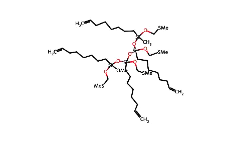 C=CCCCCCC[Si](C)(OCSC)O[Si](CCCCCCC=C)(OCSC)O[Si](CCCCCCC=C)(OCSC)O[Si](CCCCCCC=C)(OC)OCSC